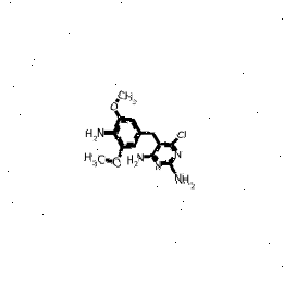 COc1cc(Cc2c(N)nc(N)nc2Cl)cc(OC)c1N